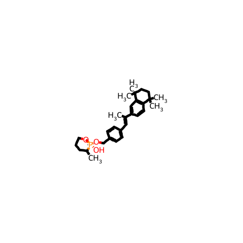 CC(=Cc1ccc(CO[P]2(O)OCCCC2C)cc1)c1ccc2c(c1)C(C)(C)CCC2(C)C